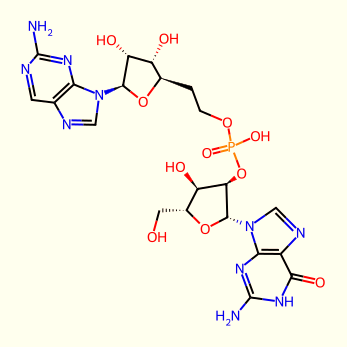 Nc1ncc2ncn([C@@H]3O[C@H](CCOP(=O)(O)O[C@@H]4[C@H](O)[C@@H](CO)O[C@H]4n4cnc5c(=O)[nH]c(N)nc54)[C@@H](O)[C@H]3O)c2n1